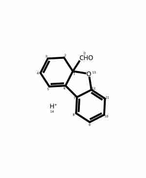 O=CC12CC=CC=C1c1ccccc1O2.[H+]